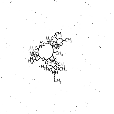 CCCNC[C@]1(O)C(C)OC(OC2C(C)C(=O)OC(CC)[C@@](C)(O)[C@H](O)[C@@H](C)NC[C@H](C)C[C@](C)(O)[C@H](OC3OC(C)CC(N(C)C)[C@H]3C)C2C)C[C@@]1(C)OC